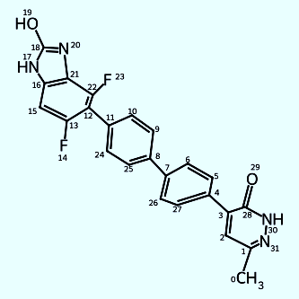 Cc1cc(-c2ccc(-c3ccc(-c4c(F)cc5[nH]c(O)nc5c4F)cc3)cc2)c(=O)[nH]n1